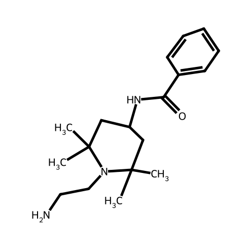 CC1(C)CC(NC(=O)c2ccccc2)CC(C)(C)N1CCN